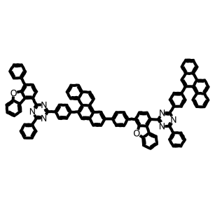 c1ccc(-c2nc(-c3ccc(-c4cc5ccc(-c6ccc(-c7ccc(-c8nc(-c9ccccc9)nc(-c9ccc(-c%10cc%11ccccc%11c%11ccc%12ccccc%12c%10%11)cc9)n8)c8c7oc7ccccc78)cc6)cc5c5ccc6ccccc6c45)cc3)nc(-c3ccc(-c4ccccc4)c4oc5ccccc5c34)n2)cc1